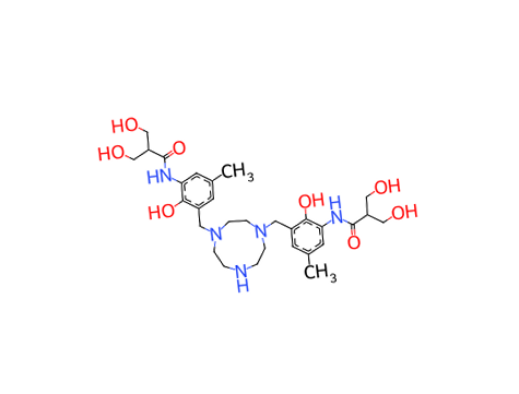 Cc1cc(CN2CCNCCN(Cc3cc(C)cc(NC(=O)C(CO)CO)c3O)CC2)c(O)c(NC(=O)C(CO)CO)c1